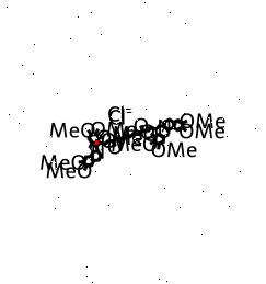 COc1cc2c(cc1OC)[C@@H](Cc1cc(OC)c(OC)c(OC)c1)[N@@+](C)(CCCOC(=O)CC/C=C/CCC(=O)OCCC[N@+]1(C)CCc3cc(OC)c(OC)cc3[C@H]1Cc1cc(OC)c(OC)c(OC)c1)CC2.[Cl-].[Cl-]